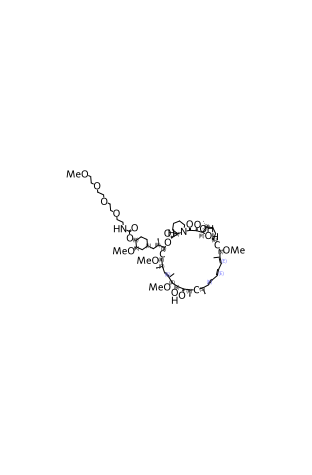 COCCOCCOCCOCCNC(=O)O[C@@H]1CC[C@@H](C[C@@H](C)[C@@H]2C[C@@H](OC)[C@H](C)/C=C(\C)[C@@H](OC)[C@@H](O)C(=O)[C@H](C)C[C@H](C)/C=C/C=C/C=C(\C)[C@@H](OC)C[C@@H]3CC[C@@H](C)[C@@](O)(O3)C(=O)C(=O)N3CCCC[C@H]3C(=O)O2)C[C@H]1OC